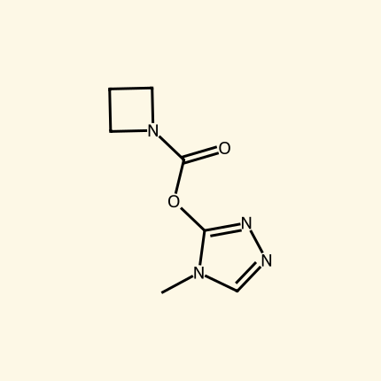 Cn1cnnc1OC(=O)N1CCC1